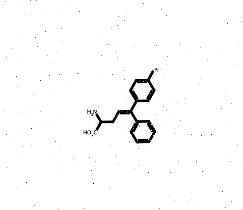 CC(C)c1ccc(/C(=C/CC(N)C(=O)O)c2ccccc2)cc1